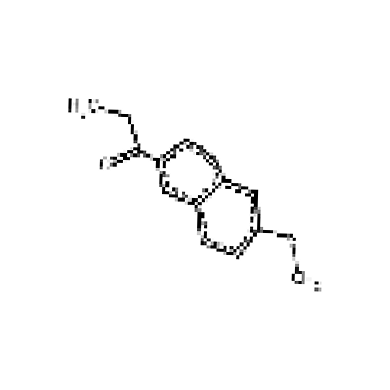 CCC(=O)c1ccc2cc(SC)ccc2c1